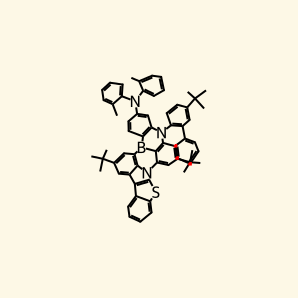 Cc1ccccc1N(c1ccc2c(c1)N(c1ccc(C(C)(C)C)cc1-c1ccccc1)c1cc(C(C)(C)C)cc3c1B2c1cc(C(C)(C)C)cc2c4c5ccccc5sc4n-3c12)c1ccccc1C